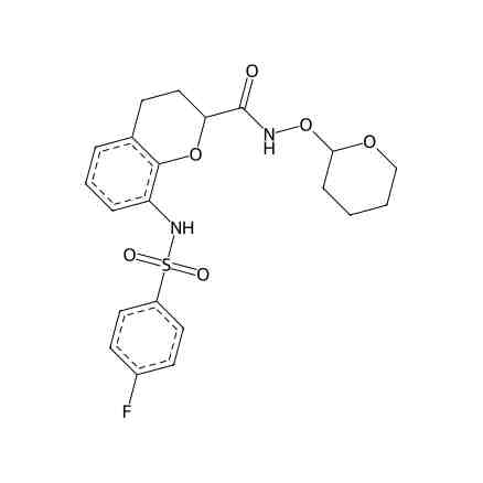 O=C(NOC1CCCCO1)C1CCc2cccc(NS(=O)(=O)c3ccc(F)cc3)c2O1